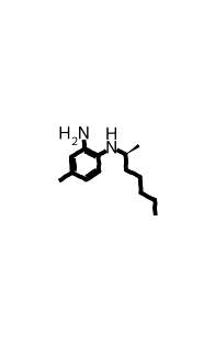 CCCCC[C@H](C)Nc1ccc(C)cc1N